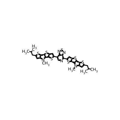 CC(C)Cc1cc2c(s1)c1sc3cc(-c4cnc(-c5cc6sc7c8sc(CC(C)C)cc8n(C)c7c6s5)c5nsnc45)sc3c1n2C